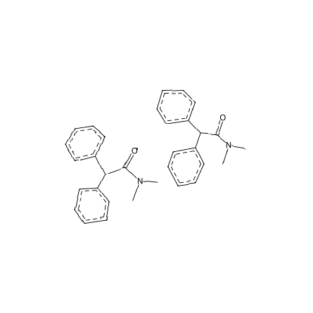 CN(C)C(=O)C(c1ccccc1)c1ccccc1.CN(C)C(=O)C(c1ccccc1)c1ccccc1